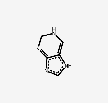 C1=c2[nH]cnc2=NCN1